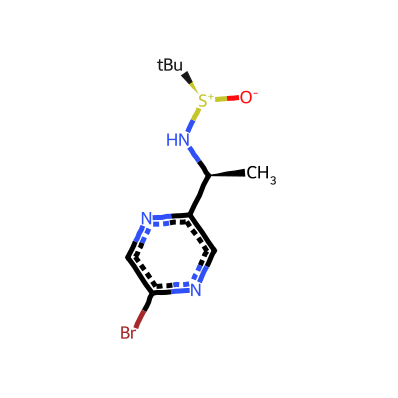 C[C@H](N[S@+]([O-])C(C)(C)C)c1cnc(Br)cn1